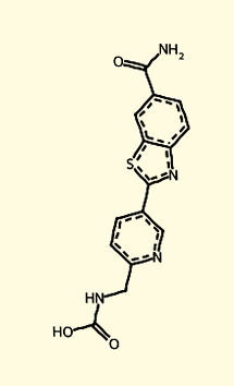 NC(=O)c1ccc2nc(-c3ccc(CNC(=O)O)nc3)sc2c1